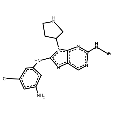 CC(C)Nc1ncc2nc(Nc3cc(N)cc(Cl)c3)n(C3CCNC3)c2n1